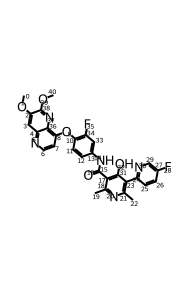 COc1cc2nccc(Oc3ccc(NC(=O)c4c(C)nc(C)c(-c5ccc(F)cn5)c4O)cc3F)c2nc1OC